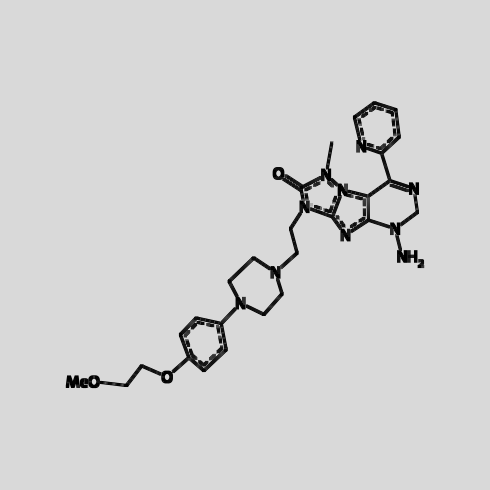 COCCOc1ccc(N2CCN(CCn3c(=O)n(C)n4c5c(nc34)N(N)CN=C5c3ccccn3)CC2)cc1